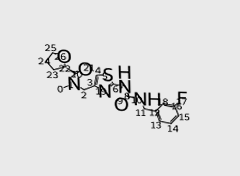 CN(Cc1csc(NC(=O)NCc2cccc(F)c2)n1)C(=O)[C@H]1CCCO1